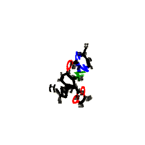 Bc1ccc(Oc2nccc(C)n2)c(F)c1C1OCCO1